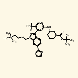 CC(C)(C)OC(=O)N1CCC[C@H](Nc2ncc(C(F)(F)F)c(-c3nn(COCC[Si](C)(C)C)c4cc(-c5nccs5)ccc34)n2)C1